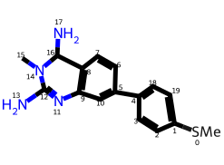 CSc1ccc(-c2ccc3c(c2)N=C(N)N(C)C3N)cc1